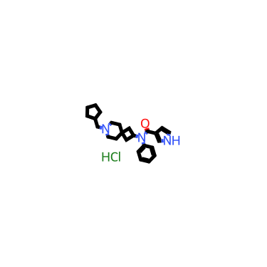 Cl.O=C(c1cc[nH]c1)N(c1ccccc1)C1CC2(CCN(CC3CCCC3)CC2)C1